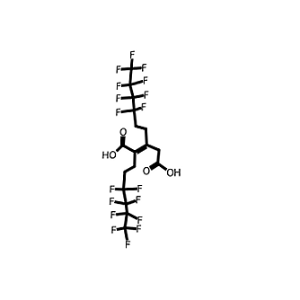 O=C(O)CC(CCC(F)(F)C(F)(F)C(F)(F)C(F)(F)F)=C(CCC(F)(F)C(F)(F)C(F)(F)C(F)(F)F)C(=O)O